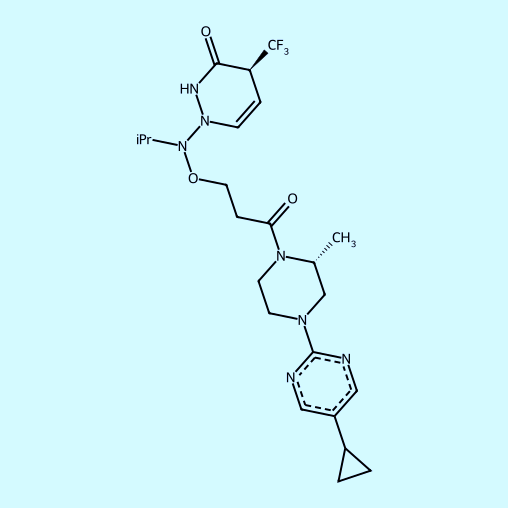 CC(C)N(OCCC(=O)N1CCN(c2ncc(C3CC3)cn2)C[C@H]1C)N1C=C[C@H](C(F)(F)F)C(=O)N1